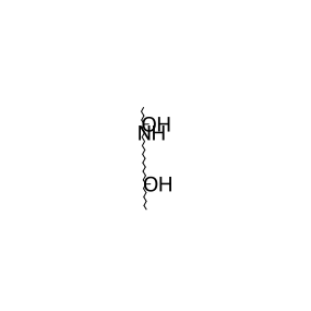 CCCCCCC(O)CCCCCCCCCCCNCC(O)CCCC